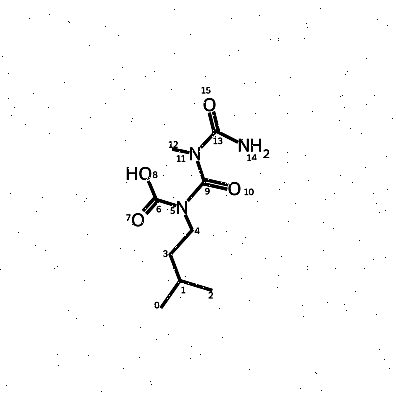 CC(C)CCN(C(=O)O)C(=O)N(C)C(N)=O